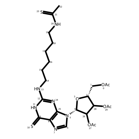 CC(=O)OC[C@H]1O[C@@H](n2cnc3c(=S)[nH]c(NCCCCCCNC(C)=S)nc32)C(OC(C)=O)C1OC(C)=O